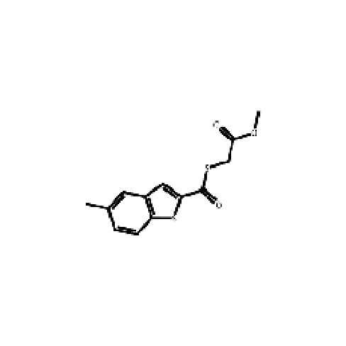 COC(=O)CSC(=O)c1cc2cc(C)ccc2s1